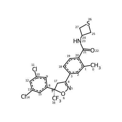 Cc1cc(C2=NO[C@](c3cc(Cl)cc(Cl)c3)(C(F)(F)F)C2)ccc1C(=O)NC1CSC1